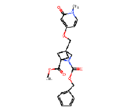 COC(=O)C12CC(COc3ccn(C)c(=O)c3)(CN1C(=O)OCc1ccccc1)C2